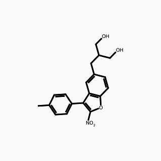 Cc1ccc(-c2c([N+](=O)[O-])oc3ccc(CC(CO)CO)cc23)cc1